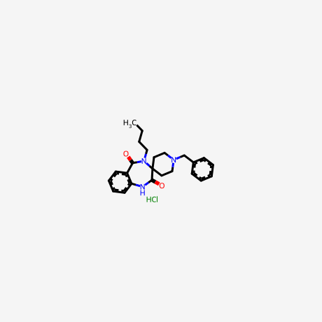 CCCCN1C(=O)c2ccccc2NC(=O)C12CCN(Cc1ccccc1)CC2.Cl